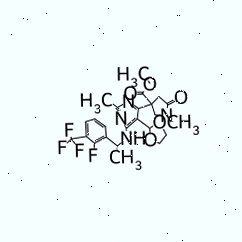 COC(=O)C1(c2nc(C)nc(N[C@H](C)c3cccc(C(F)(F)F)c3F)c2C2OCCO2)CC(=O)N(C)C1